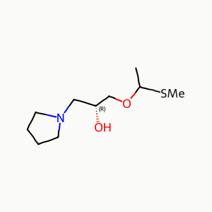 CSC(C)OC[C@H](O)CN1CCCC1